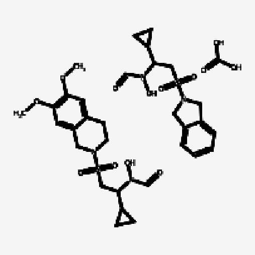 COc1cc2c(cc1OC)CN(S(=O)(=O)CC(C1CC1)N(O)C=O)CC2.O=C(O)O.O=CN(O)C(CS(=O)(=O)N1Cc2ccccc2C1)C1CC1